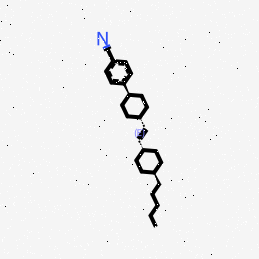 CCCCC[C@H]1CC[C@H](/C=C/[C@H]2CC[C@H](c3ccc(C#N)cc3)CC2)CC1